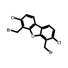 Clc1ccc2c(oc3c(CBr)c(Cl)ccc32)c1CBr